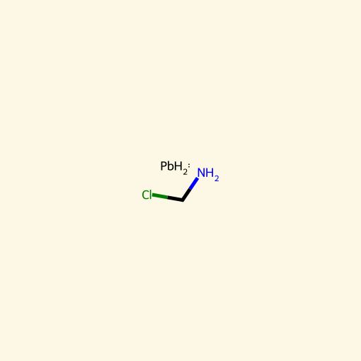 NCCl.[PbH2]